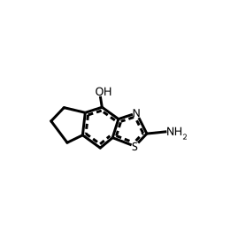 Nc1nc2c(O)c3c(cc2s1)CCC3